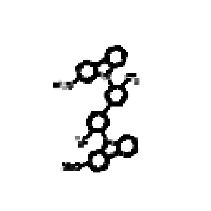 COc1ccc2c3ccccc3n(-c3cc(-c4ccc(C(F)(F)F)c(-n5c6ccccc6c6ccc(OC)cc65)c4)ccc3C(F)(F)F)c2c1